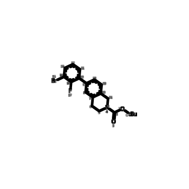 CC(C)(C)OC(=O)N1CCc2cc(-c3cccc(Br)c3F)ccc2C1